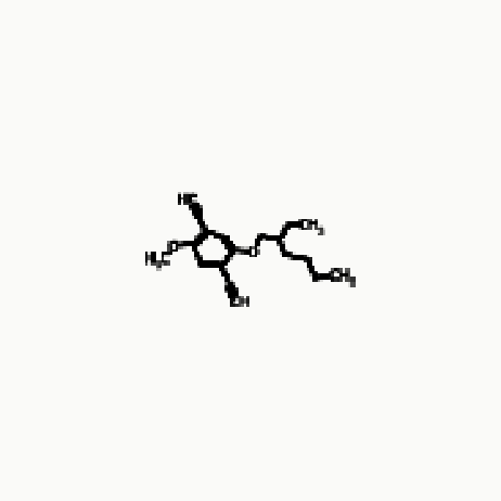 C#Cc1cc(OCC(CC)CCCC)c(C#C)cc1OC